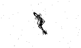 Cn1ccnc1SCC1CCN(C(=O)Oc2ccc(N3C(=O)C4CCCCC4C3=O)cn2)CC1